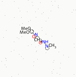 COc1ccc(-c2nc(CCCC(=O)NCCN3CCCCC3C)c(C)o2)cc1OC